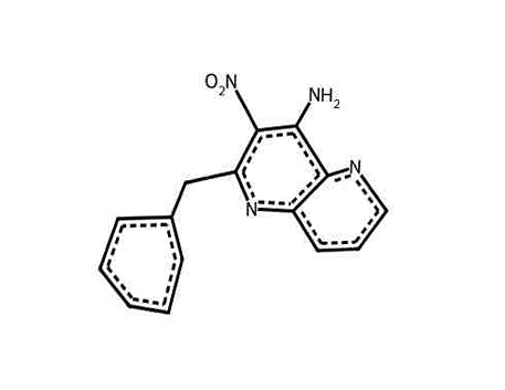 Nc1c([N+](=O)[O-])c(Cc2ccccc2)nc2cccnc12